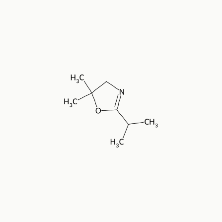 CC(C)C1=NCC(C)(C)O1